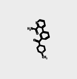 CN1CCC(C(=O)c2cccc(-c3cccnc3C(N)=O)c2)CC1